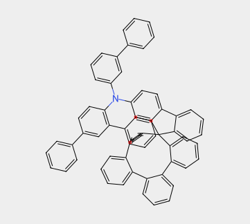 c1ccc(-c2cccc(N(c3ccc4c(c3)C3(c5ccccc5-c5ccccc5-c5ccccc5-c5ccccc53)c3ccccc3-4)c3ccc(-c4ccccc4)cc3-c3ccccc3)c2)cc1